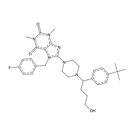 Cn1c(=O)c2c(nc(N3CCN(C(CCCO)c4ccc(C(C)(C)C)cc4)CC3)n2Cc2ccc(F)cc2)n(C)c1=O